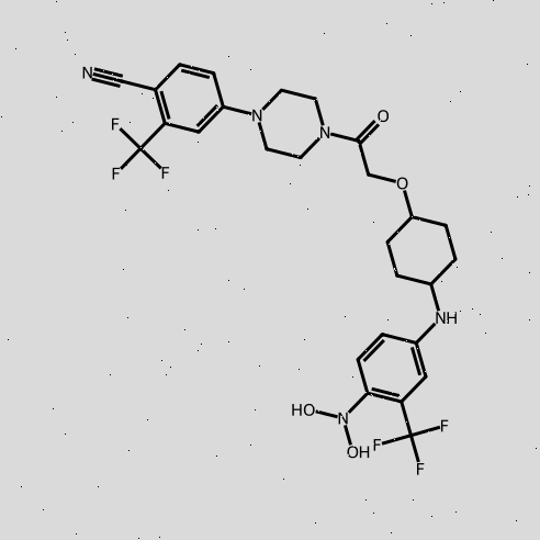 N#Cc1ccc(N2CCN(C(=O)COC3CCC(Nc4ccc(N(O)O)c(C(F)(F)F)c4)CC3)CC2)cc1C(F)(F)F